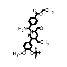 CCOC(=O)c1ccc(C(N)N2N=C(c3ccc(OC)c(OC(F)(F)F)c3)C(CC)CC2C=O)cc1